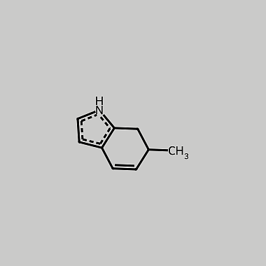 CC1C=Cc2cc[nH]c2C1